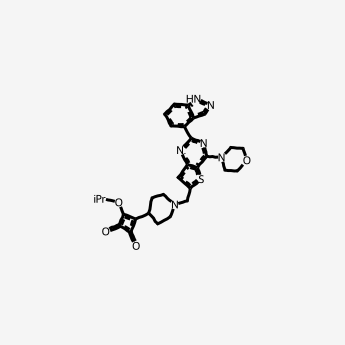 CC(C)Oc1c(C2CCN(Cc3cc4nc(-c5cccc6[nH]ncc56)nc(N5CCOCC5)c4s3)CC2)c(=O)c1=O